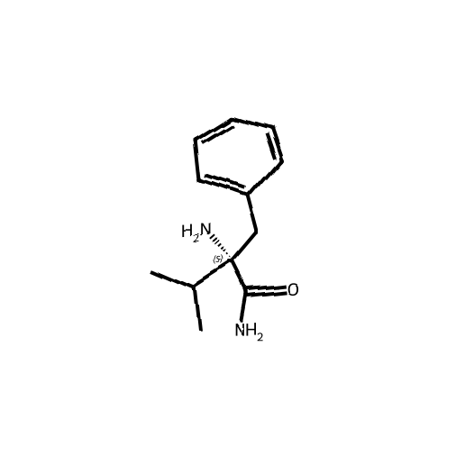 CC(C)[C@@](N)(Cc1ccccc1)C(N)=O